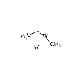 C[CH2][Tl+][CH3].[H-]